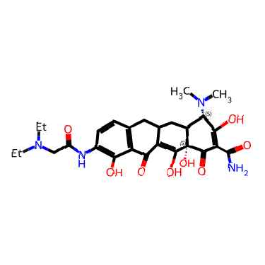 CCN(CC)CC(=O)Nc1ccc2c(c1O)C(=O)C1=C(O)[C@]3(O)C(=O)C(C(N)=O)=C(O)[C@@H](N(C)C)C3CC1C2